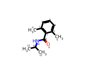 Cc1cccc(C)c1C(=O)NC(C)C